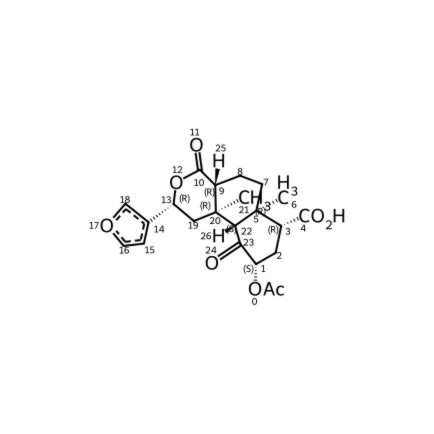 CC(=O)O[C@H]1C[C@@H](C(=O)O)[C@]2(C)CC[C@H]3C(=O)O[C@@H](c4ccoc4)C[C@]3(C)[C@H]2C1=O